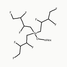 CCCCCC[O][Sn]([CH2]C(F)C(F)CF)([CH2]C(F)C(F)CF)[CH2]C(F)C(F)CF